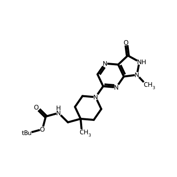 Cn1[nH]c(=O)c2ncc(N3CCC(C)(CNC(=O)OC(C)(C)C)CC3)nc21